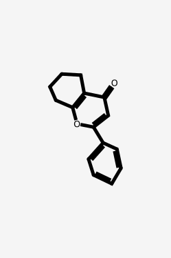 O=c1cc(-c2ccccc2)oc2c1CCCC2